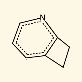 [c]1ccnc2c1CC2